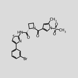 Cc1cc(C(=O)N2CC[C@H]2C(=O)Nc2nc(-c3cccc(Br)c3)cs2)cn1S(C)(=O)=O